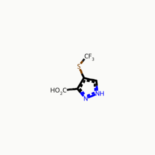 O=C(O)c1n[nH]cc1SC(F)(F)F